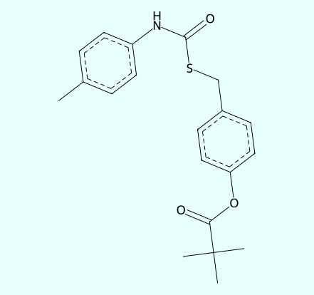 Cc1ccc(NC(=O)SCc2ccc(OC(=O)C(C)(C)C)cc2)cc1